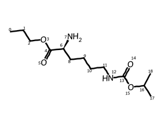 CCCOC(=O)[C@@H](N)CCCCNC(=O)OC(C)C